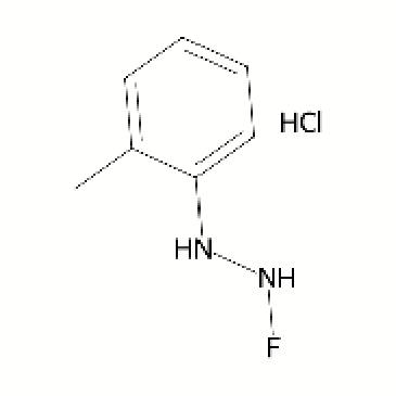 Cc1ccccc1NNF.Cl